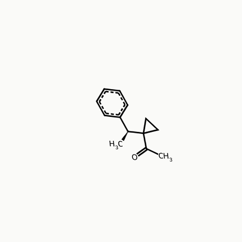 CC(=O)C1([C@@H](C)c2ccccc2)CC1